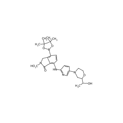 CC(O)C1CN(c2ccc(Nc3ccc(B4OC(C)(C)C(C)(C)O4)c4c3C(=O)N(C(=O)O)C4)nc2)CCO1